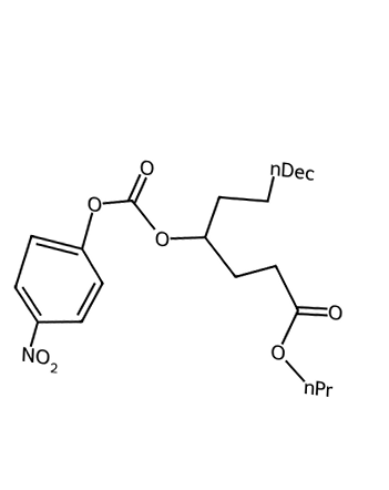 [CH2][CH]COC(=O)CCC(CCCCCCCCCCCC)OC(=O)Oc1ccc([N+](=O)[O-])cc1